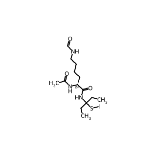 CCC(CC)(NC(=O)[C@H](CCCCNC=O)NC(C)=O)SI